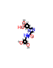 COc1cc(/C=N/NC(=O)c2cncc(-c3ccc(OC)c(O)c3)n2)cc(OC)c1